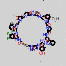 CCCC[C@H]1C(=O)N2C[C@H](O)C[C@@H]2C(=O)N2CCC[C@H]2C(=O)N[C@@H](C(C)C)C(=O)N(C)[C@@H](Cc2ccccc2)C(=O)N[C@@H](CCC(=O)O)C(=O)N2CCC[C@@H]2C(=O)N[C@@H](Cc2c[nH]c3ccccc23)C(=O)N[C@@H](Cc2ccc(O)cc2)C(=O)N[C@@H](CC(C)C)C(=O)N[C@H](C)CSCC(=O)N[C@@H](Cc2cc(F)c(F)c(F)c2)C(=O)N(C)[C@@H](Cc2ccccc2)C(=O)N1C